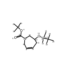 CC(C)(C)OC(=O)N1CC=CCC(O[Si](C)(C)C(C)(C)C)C1